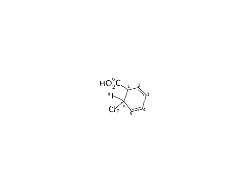 O=C(O)C1C=CC=CC1(Cl)I